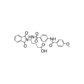 COc1ccc(C(=O)Nc2ccc(S(=O)(=O)NC(CCCC(=O)O)N3C(=O)c4ccccc4C3=O)cc2)cc1